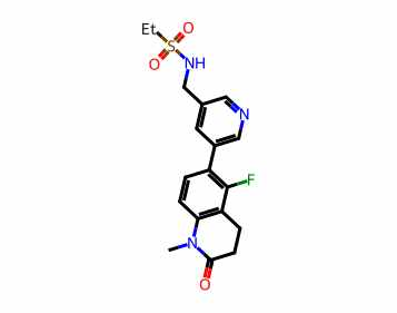 CCS(=O)(=O)NCc1cncc(-c2ccc3c(c2F)CCC(=O)N3C)c1